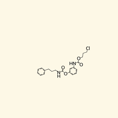 O=C(Nc1cccc(OC(=O)NCCCc2ccccc2)c1)OCCCCl